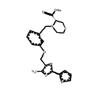 COC(=O)[C@@H]1COCCN1Cc1cccc(OCc2nc(-c3cccs3)oc2C)c1